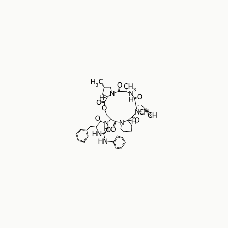 C#CC[C@H]1C(=O)N[C@@H](C)C(=O)N2C[C@H](C)C[C@H]2C(=O)OC[C@H](NC(=O)[C@H](Cc2ccccc2)NC(=O)Nc2ccccc2)C(=O)N2CCCC[C@H]2C(=O)N1C